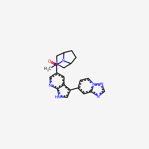 CN1CC2CCC(C1)N2C(=O)c1cnc2[nH]cc(-c3ccn4ncnc4c3)c2c1